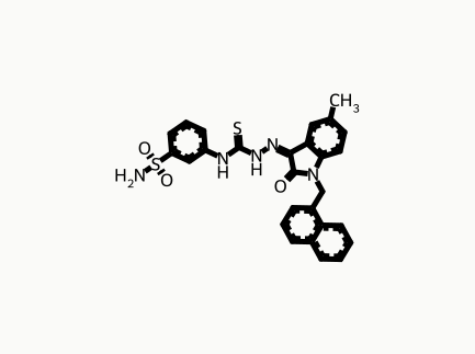 Cc1ccc2c(c1)C(=NNC(=S)Nc1cccc(S(N)(=O)=O)c1)C(=O)N2Cc1cccc2ccccc12